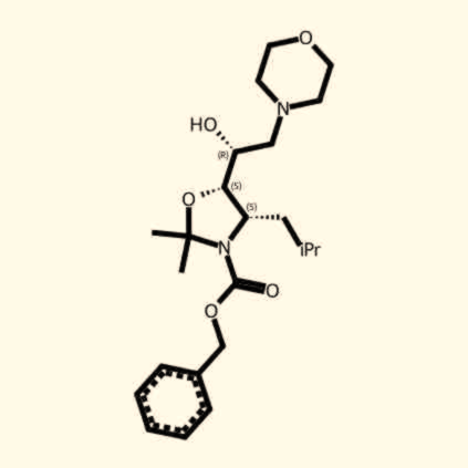 CC(C)C[C@H]1[C@@H]([C@H](O)CN2CCOCC2)OC(C)(C)N1C(=O)OCc1ccccc1